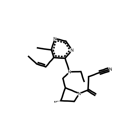 C=C(CC#N)N1C[C@H](C)C1CN(CC)c1ncnc(C)c1/C=C\C